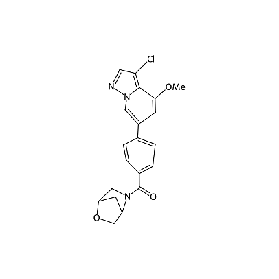 COc1cc(-c2ccc(C(=O)N3CC4CC3CO4)cc2)cn2ncc(Cl)c12